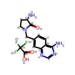 Nc1ncnc2cc(CN3CC[C@@H](N)C3=O)ccc12.O=C(O)C(F)(F)F